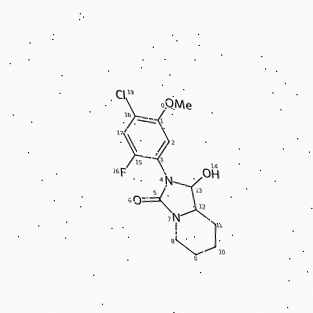 COc1cc(N2C(=O)N3CCCCC3C2O)c(F)cc1Cl